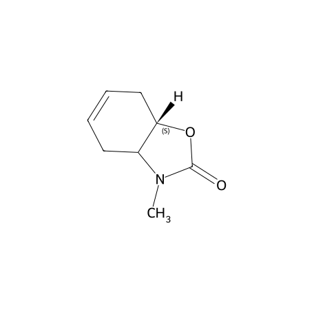 CN1C(=O)O[C@H]2CC=CCC21